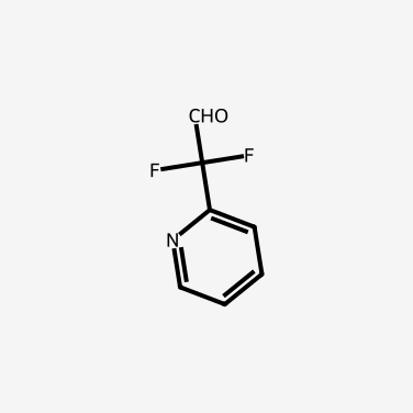 O=CC(F)(F)c1ccccn1